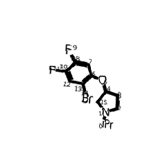 CC(C)N1CCC(Oc2cc(F)c(F)cc2Br)C1